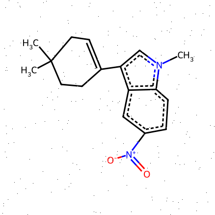 Cn1cc(C2=CCC(C)(C)CC2)c2cc([N+](=O)[O-])ccc21